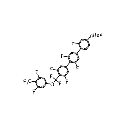 CCCCCCc1ccc(-c2cc(F)c(-c3cc(F)c(C(F)(F)Oc4cc(F)c(C(F)(F)F)c(F)c4)c(F)c3)c(F)c2)c(F)c1